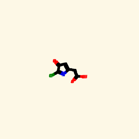 O=C(O)CC1=CC(=O)C(Cl)=N1